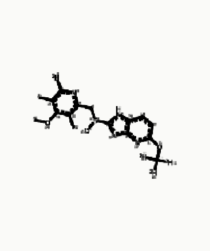 [2H]c1nc(C[S+]([O-])c2nc3nc(OC([2H])([2H])[2H])ccc3[nH]2)c(C)c(OC)c1C